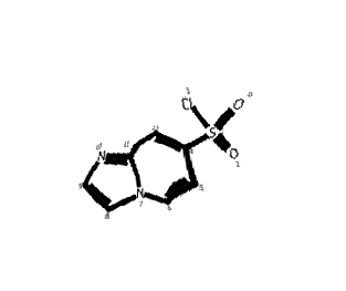 O=S(=O)(Cl)c1ccn2ccnc2c1